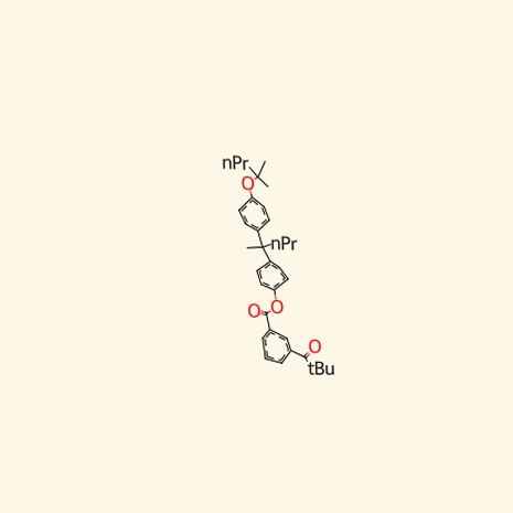 CCCC(C)(C)Oc1ccc(C(C)(CCC)c2ccc(OC(=O)c3cccc(C(=O)C(C)(C)C)c3)cc2)cc1